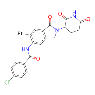 CCc1cc2c(cc1NC(=O)c1ccc(Cl)cc1)CN(C1CCC(=O)NC1=O)C2=O